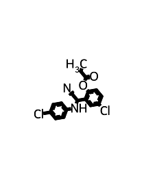 CCC(=O)Oc1ccc(Cl)cc1C(C#N)Nc1ccc(Cl)cc1